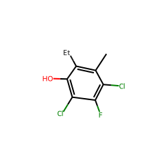 CCc1c(C)c(Cl)c(F)c(Cl)c1O